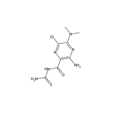 CN(C)c1nc(N)c(C(=O)NC(N)=S)nc1Cl